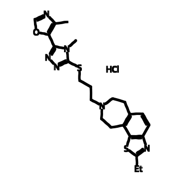 CCc1nc2ccc3c(c2s1)CCN(CCCSc1nnc(-c2ocnc2C)n1C)CC3.Cl